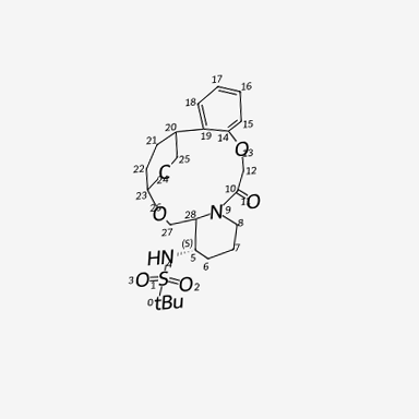 CC(C)(C)S(=O)(=O)N[C@H]1CCCN2C(=O)COc3ccccc3C3CCC(CC3)OCC12